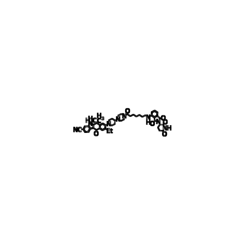 CCc1cc2c(cc1N1CCC(N3CCN(C(=O)CCCCCCNc4cccc5c4C(=O)N(C4CCC(=O)NC4=O)C5=O)CC3)CC1)C(C)(C)c1[nH]c3cc(C#N)ccc3c1C2=O